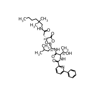 CCCCC(C)(C)CNC(=O)C[C@H]1OB([C@H](CC(C)C)NC(=O)C(NC(=O)c2cccc(-c3ccccc3)n2)[C@@H](C)O)OC1=O